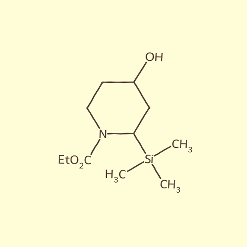 CCOC(=O)N1CCC(O)CC1[Si](C)(C)C